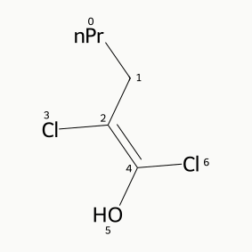 CCCCC(Cl)=C(O)Cl